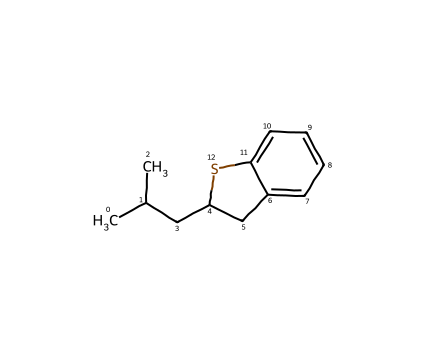 CC(C)CC1Cc2ccccc2S1